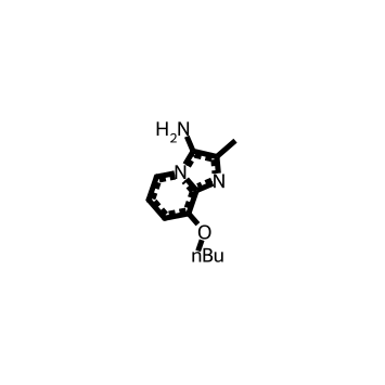 CCCCOc1cccn2c(N)c(C)nc12